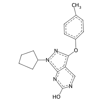 Cc1ccc(Oc2nn(C3CCCC3)c3nc(O)ncc23)cc1